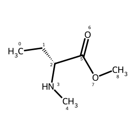 CC[C@@H](NC)C(=O)OC